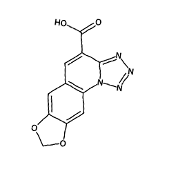 O=C(O)c1cc2cc3c(cc2n2nnnc12)OCO3